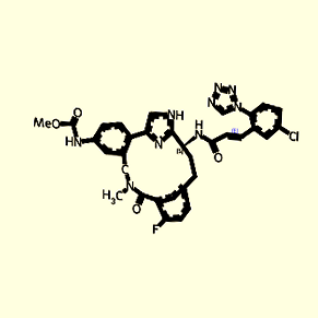 COC(=O)Nc1ccc2c(c1)CN(C)C(=O)c1cc(ccc1F)CC[C@H](NC(=O)/C=C/c1cc(Cl)ccc1-n1cnnn1)c1nc-2c[nH]1